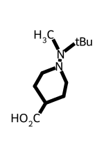 CN(N1CCC(C(=O)O)CC1)C(C)(C)C